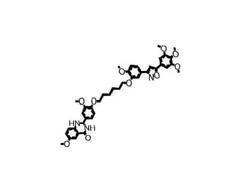 COc1ccc2c(c1)C(=O)NC(c1ccc(OCCCCCCOc3cc(-c4cc(-c5cc(OC)c(OC)c(OC)c5)on4)ccc3OC)c(OC)c1)N2